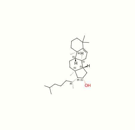 CC(C)CCC[C@@H](C)[C@H]1[C@@H](O)C[C@H]2[C@@H]3CC=C4C(C)(C)CCC[C@]4(C)[C@H]3CC[C@]12C